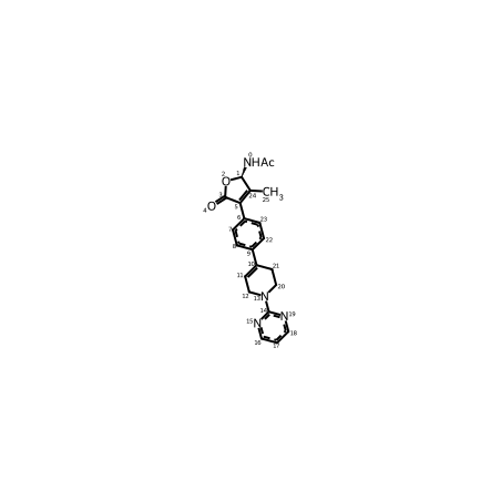 CC(=O)N[C@@H]1OC(=O)C(c2ccc(C3=CCN(c4ncccn4)CC3)cc2)=C1C